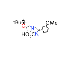 COc1cccc([C@@H](CN2CCC(O[Si](C)(C)C(C)(C)C)C2)N(C)C(=O)O)c1